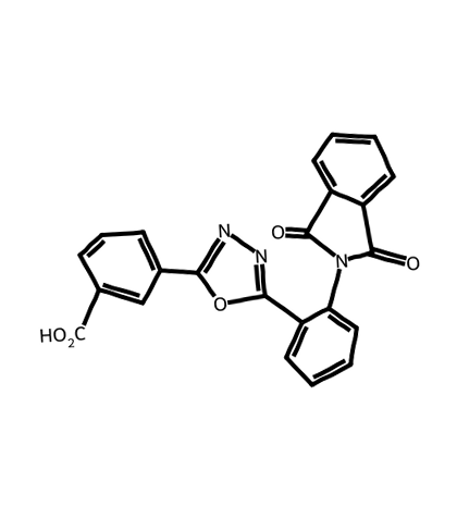 O=C(O)c1cccc(-c2nnc(-c3ccccc3N3C(=O)c4ccccc4C3=O)o2)c1